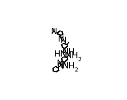 Cc1cc(NNc2cc(/N=N/c3ccccc3)c(N)cc2N)ccc1/N=N/c1cccc(N(C)C)c1